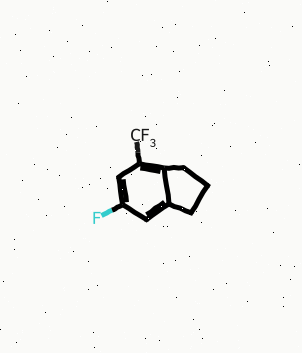 Fc1cc2c(c(C(F)(F)F)c1)CCC2